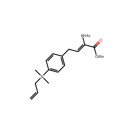 C=CC[Si](C)(C)c1ccc(C/C=C(\NC(C)=O)C(=O)OC)cc1